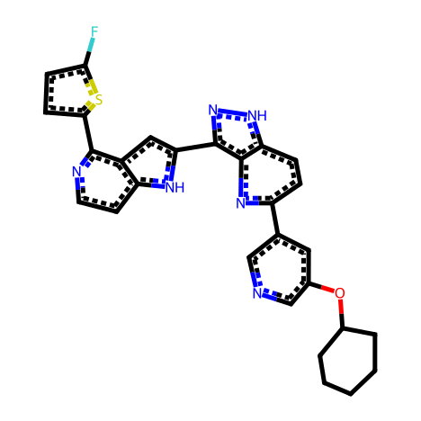 Fc1ccc(-c2nccc3[nH]c(-c4n[nH]c5ccc(-c6cncc(OC7CCCCC7)c6)nc45)cc23)s1